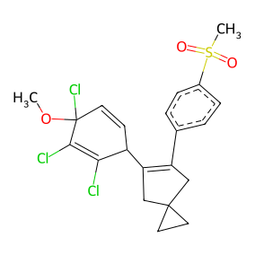 COC1(Cl)C=CC(C2=C(c3ccc(S(C)(=O)=O)cc3)CC3(CC3)C2)C(Cl)=C1Cl